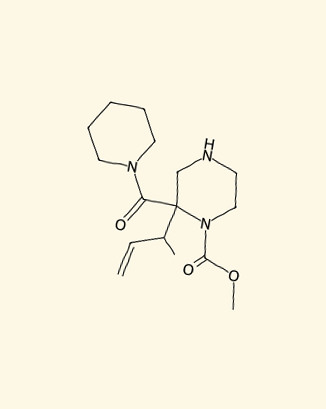 C=CC(C)C1(C(=O)N2CCCCC2)CNCCN1C(=O)OC